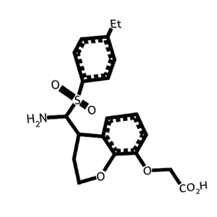 CCc1ccc(S(=O)(=O)C(N)C2CCOc3c(OCC(=O)O)cccc32)cc1